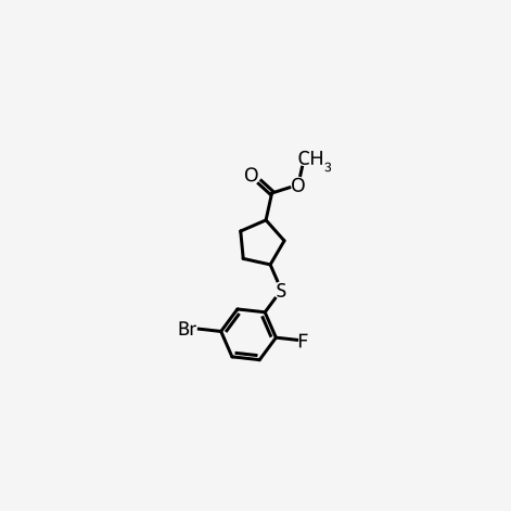 COC(=O)C1CCC(Sc2cc(Br)ccc2F)C1